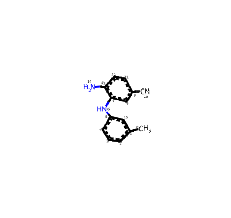 Cc1cccc(Nc2cc(C#N)ccc2N)c1